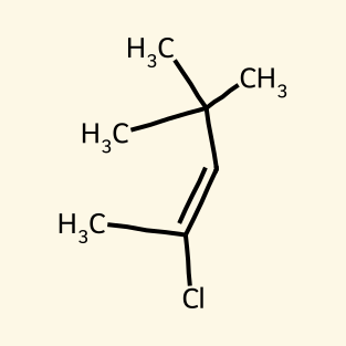 C/C(Cl)=C\C(C)(C)C